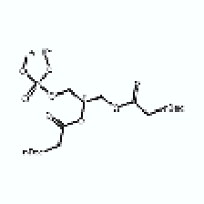 CCCCCCCCCCCC(=O)OC[C@H](COP(=O)(OC(C)C)OC(C)C)OC(=O)CCCCCCCCCCC